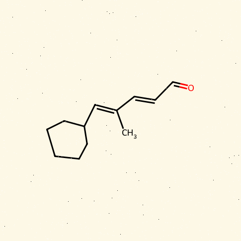 CC(/C=C/C=O)=C\C1CCCCC1